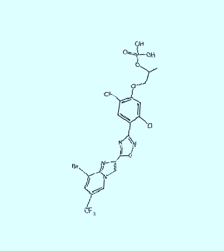 CC(COc1cc(Cl)c(-c2noc(-c3cn4cc(C(F)(F)F)cc(Br)c4n3)n2)cc1Cl)OP(=O)(O)O